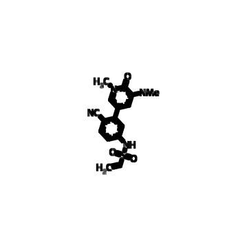 C=CS(=O)(=O)Nc1ccc(C#N)c(-c2cc(NC)c(=O)n(C)c2)c1